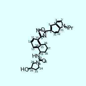 CC(C)n1ccc2cc(-c3nc(-c4cccc5c4CCCC5NC(=O)N4CCC(O)C4)no3)ccc21